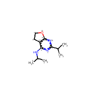 CC(C)Nc1nc(C(C)C)nc2c1CCO2